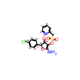 NC1=C(OS(=O)(=O)Cc2ccccn2)C(=O)C(c2ccc(Cl)cc2)O1